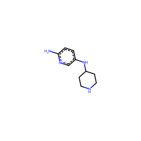 Nc1ccc(NC2CCNCC2)cn1